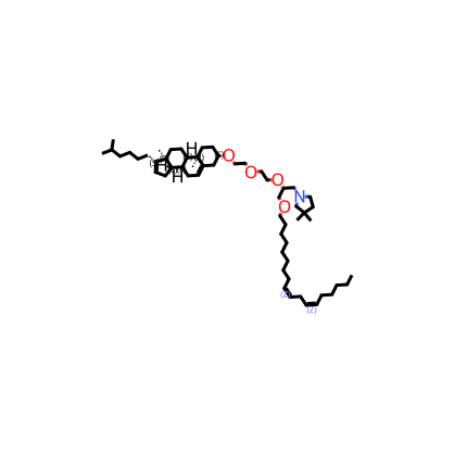 CCCCC/C=C\C/C=C\CCCCCCCCOCC(CN1CCC(C)(C)C1)OCCOCCO[C@H]1CC[C@@]2(C)C(=CC[C@H]3[C@@H]4CC[C@H](CCCCC(C)C)[C@@]4(C)CC[C@@H]32)C1